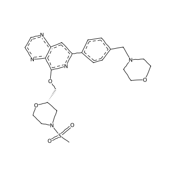 CS(=O)(=O)N1CCO[C@H](COc2nc(-c3ccc(CN4CCOCC4)cc3)cc3nccnc23)C1